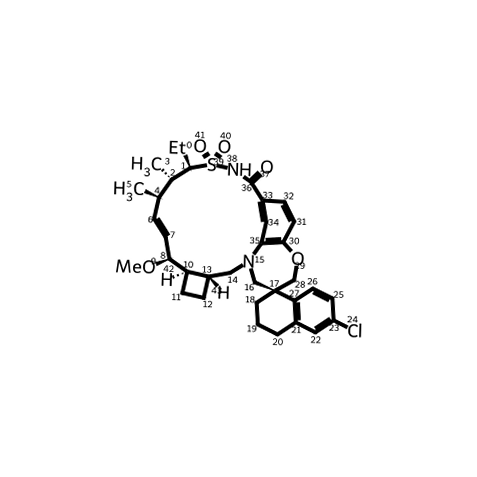 CC[C@@H]1[C@@H](C)[C@H](C)/C=C/[C@H](OC)[C@@H]2CC[C@H]2CN2C[C@@]3(CCCc4cc(Cl)ccc43)COc3ccc(cc32)C(=O)NS1(=O)=O